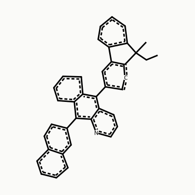 CCC1(C)c2ccccc2-c2cc(-c3c4ccccc4c(-c4ccc5ccccc5c4)c4ncccc34)ccc21